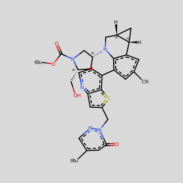 CC(C)(C)OC(=O)N1C[C@H](N2C[C@@H]3C[C@@H]3c3cc(C#N)cc(-c4ccnc5cc(Cn6ncc(C(C)(C)C)cc6=O)sc45)c32)C[C@@H]1CO